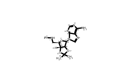 CC(C)NC[C@H]1O[C@@H](n2cnc3c(N)ncnc32)C2OC(C)(C)O[C@@H]21